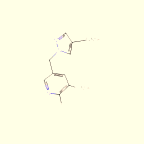 CNc1cnn(Cc2cnc(C(F)(F)F)c(OC)c2)c1.Cl